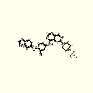 CON1CCN(c2ncc3ncnc(Nc4ccc(Oc5ccn6ncnc6c5)c(Cl)c4)c3n2)CC1